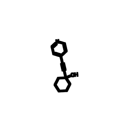 OC1(C#Cc2ccncc2)CCCCC1